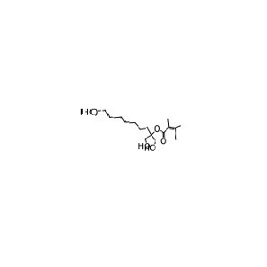 CC(C)=C(C)C(=O)OC(CO)(CO)CCCCCCCO